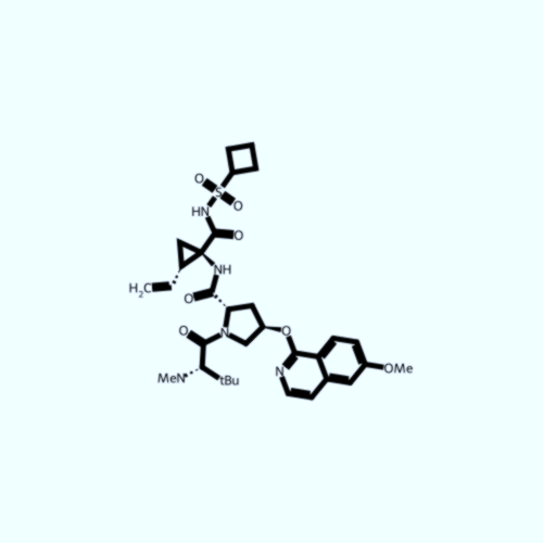 C=C[C@@H]1C[C@]1(NC(=O)[C@@H]1C[C@@H](Oc2nccc3cc(OC)ccc23)CN1C(=O)[C@@H](NC)C(C)(C)C)C(=O)NS(=O)(=O)C1CCC1